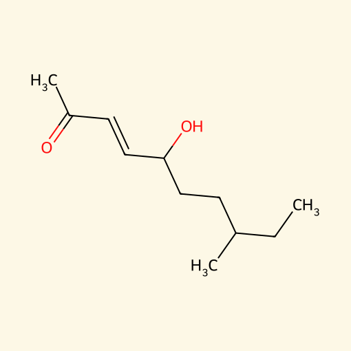 CCC(C)CCC(O)C=CC(C)=O